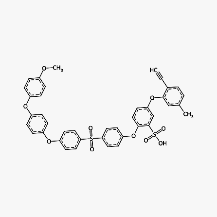 C#Cc1ccc(C)cc1Oc1ccc(Oc2ccc(S(=O)(=O)c3ccc(Oc4ccc(Oc5ccc(OC)cc5)cc4)cc3)cc2)c(S(=O)(=O)O)c1